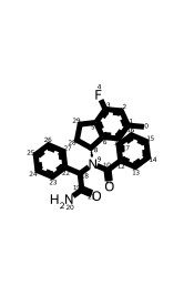 Cc1cc(F)c2c(c1)[C@H](N(C(=O)c1ccccc1)C(C(N)=O)c1ccccc1)CC2